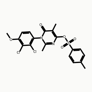 COc1ccc(-n2c(C)nc(OS(=O)(=O)c3ccc(C)cc3)c(C)c2=O)c(Cl)c1Cl